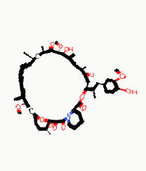 CO[C@H]1C[C@@H]2CC[C@@H](C)[C@@](O)(O2)C(=O)C(=O)N2CCCCC2C(=O)O[C@H]([C@H](C)C[C@@H]2CC[C@H](O)[C@H](OC)C2)CC(=O)[C@H](C)/C=C(\C)[C@@H](O)[C@@H](OC)C(=O)[C@H](C)C[C@H](C)/C=C/C=C/C=C/1C